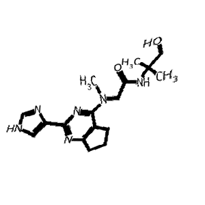 CN(CC(=O)NC(C)(C)CO)c1nc(-c2c[nH]cn2)nc2c1CCC2